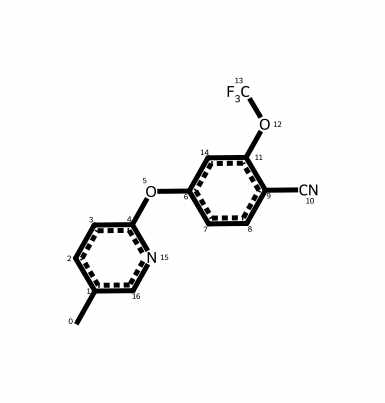 Cc1ccc(Oc2ccc(C#N)c(OC(F)(F)F)c2)nc1